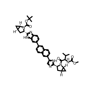 COC(=O)NC(C(=O)N1[C@@H]2C[C@@H]2C[C@H]1c1ncc(-c2ccc3cc(-c4ccc5nc([C@@H]6C[C@H]7C[C@H]7N6C(=O)OC(C)(C)C)[nH]c5c4)ccc3c2)[nH]1)C(C)C